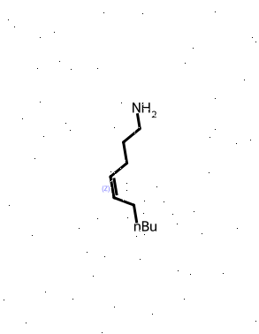 CCCCC/C=C\CCCN